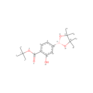 CC(C)(C)OC(=O)c1ccc(B2OC(C)(C)C(C)(C)O2)cc1O